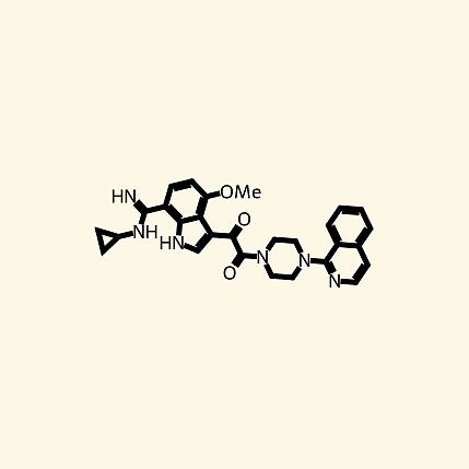 COc1ccc(C(=N)NC2CC2)c2[nH]cc(C(=O)C(=O)N3CCN(c4nccc5ccccc45)CC3)c12